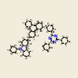 c1ccc(-c2nc(-c3ccccc3)nc(-c3cccc(-c4ccc5c6ccccc6c6cc(-c7ccc8c(c7)c7ccccc7n8-c7ccccc7)ccc6c5c4)c3)n2)cc1